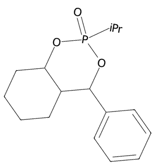 CC(C)P1(=O)OC2CCCCC2C(c2ccccc2)O1